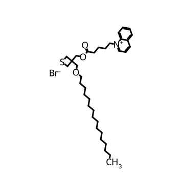 CCCCCCCCCCCCCCCCOCC1(COC(=O)CCCC[n+]2cccc3ccccc32)CSC1.[Br-]